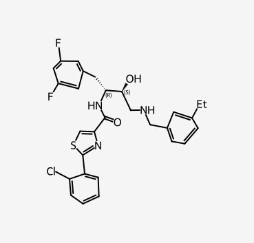 CCc1cccc(CNC[C@H](O)[C@@H](Cc2cc(F)cc(F)c2)NC(=O)c2csc(-c3ccccc3Cl)n2)c1